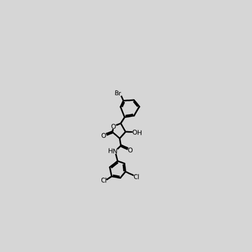 O=C(Nc1cc(Cl)cc(Cl)c1)C1C(=O)OC(c2cccc(Br)c2)C1O